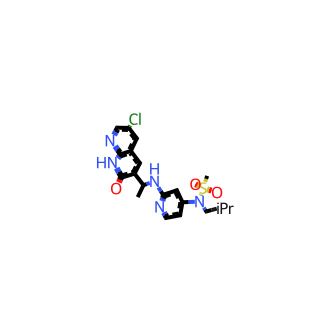 CC(C)CN(c1ccnc(NC(C)c2cc3cc(Cl)cnc3[nH]c2=O)c1)S(C)(=O)=O